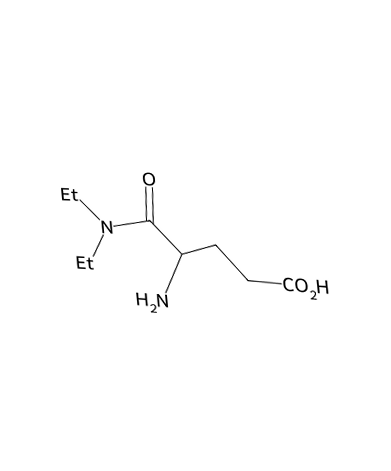 CCN(CC)C(=O)C(N)CCC(=O)O